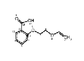 C=COCCOc1ccccc1C(=O)O